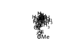 COc1ccc(CCn2cnc3cc(N=C(N[C@H]4C[C@@H]5C[C@@H]([C@H]4C)C5(C)C)N4C[C@@H](C)N[C@@H](C)C4)c(F)cc3c2=O)c(F)c1